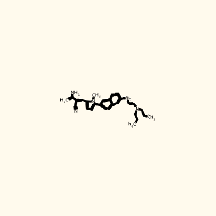 C=C(N)/C(C#N)=C/c1ccc(-c2ccc3cc(NCCN(CCC)CCC)ccc3c2)n1C